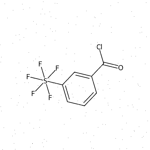 O=C(Cl)c1cccc(S(F)(F)(F)(F)F)c1